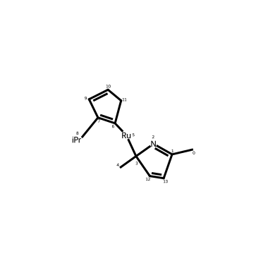 CC1=N[C](C)([Ru][C]2=C(C(C)C)C=CC2)C=C1